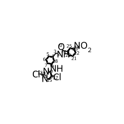 O=C(NCc1cccc(Nc2nc(Cl)ncc2Cl)c1)c1cccc([N+](=O)[O-])c1